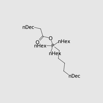 CCCCCCCCCCCCCCP(CCCCCC)(CCCCCC)(CCCCCC)OC(=O)CCCCCCCCCCC